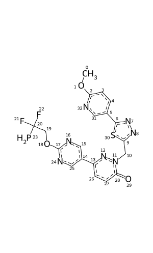 COc1ccc(-c2nnc(Cn3nc(-c4cnc(OCC(F)(F)P)nc4)ccc3=O)s2)cn1